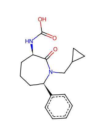 O=C(O)N[C@@H]1CCC[C@H](c2ccccc2)N(CC2CC2)C1=O